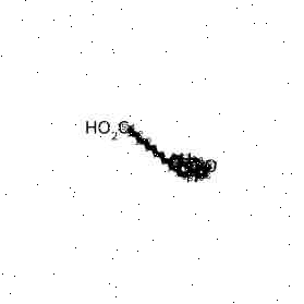 C[C@]12CC=C(CCCCCCCCCCC(=O)O)CC1CC[C@@H]1[C@@H]2CC[C@]2(C)C(=O)CC[C@@H]12